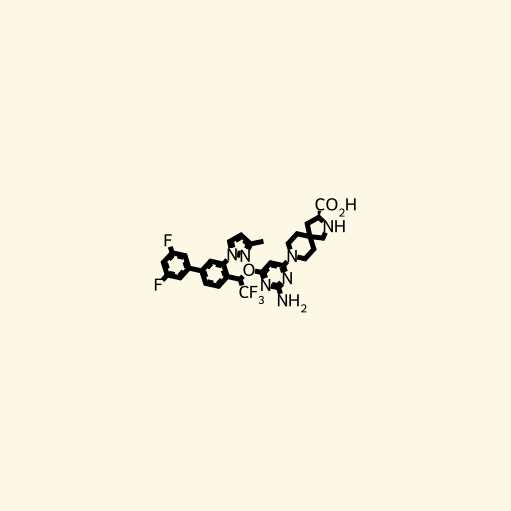 Cc1ccn(-c2cc(-c3cc(F)cc(F)c3)ccc2C(Oc2cc(N3CCC4(CC3)CN[C@H](C(=O)O)C4)nc(N)n2)C(F)(F)F)n1